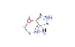 C1=C2OCCN[C@@H]2CN1